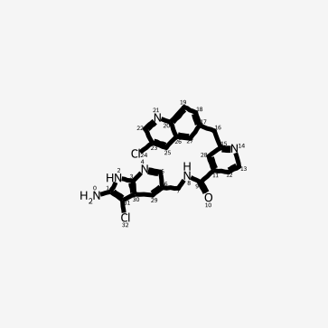 Nc1[nH]c2ncc(CNC(=O)c3ccnc(Cc4ccc5ncc(Cl)cc5c4)c3)cc2c1Cl